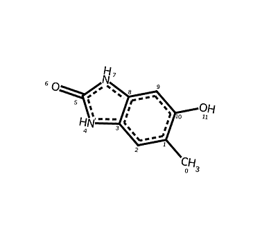 Cc1cc2[nH]c(=O)[nH]c2cc1O